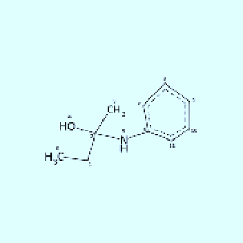 CCC(C)(O)Nc1ccccc1